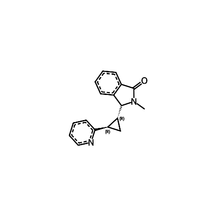 CN1C(=O)c2ccccc2C1[C@@H]1C[C@H]1c1ccccn1